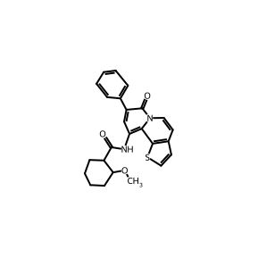 COC1CCCCC1C(=O)Nc1cc(-c2ccccc2)c(=O)n2ccc3ccsc3c12